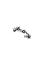 Cc1oc(-c2ccco2)nc1COc1ccc(CCCc2nnn[nH]2)cc1